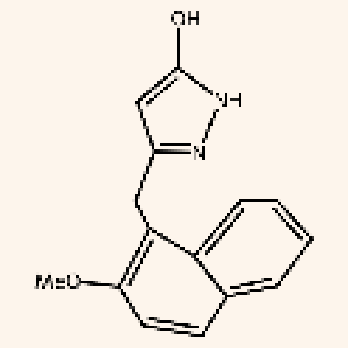 COc1ccc2ccccc2c1Cc1cc(O)[nH]n1